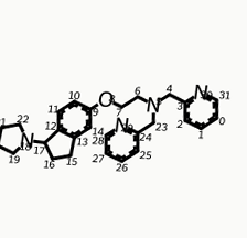 c1ccc(CN(CCOc2ccc3c(c2)CCC3N2CCCC2)Cc2ccccn2)nc1